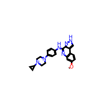 COc1ccc2c(c1)nc(Nc1ccc(N3CCN(C4CC4)CC3)cc1)c1n[nH]cc12